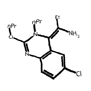 CCCOC1=Nc2ccc(Cl)cc2C(=C(N)CC)N1CCC